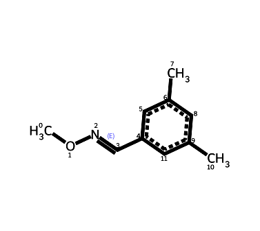 CO/N=C/c1cc(C)cc(C)c1